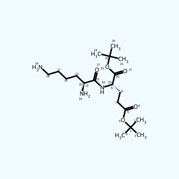 CC(C)(C)OC(=O)CC[C@H](NC(=O)[C@@H](N)CCCCN)C(=O)OC(C)(C)C